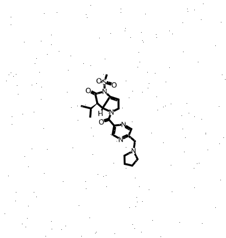 CC(C)[C@H]1C(=O)N(S(C)(=O)=O)C2=CCN(C(=O)c3cnc(CN4CCCC4)cn3)[C@@H]21